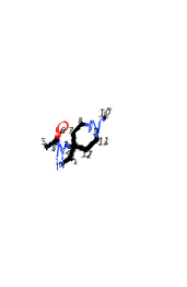 CCC1(NC(C)=O)CCN(C)CC1